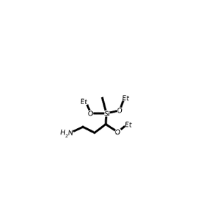 CCOC(CCN)[Si](C)(OCC)OCC